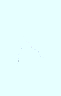 [CH2]C(OCCCC)OCCCC.[Hf]